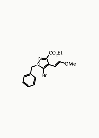 CCOC(=O)c1nn(Cc2ccccc2)c(Br)c1/C=C/OC